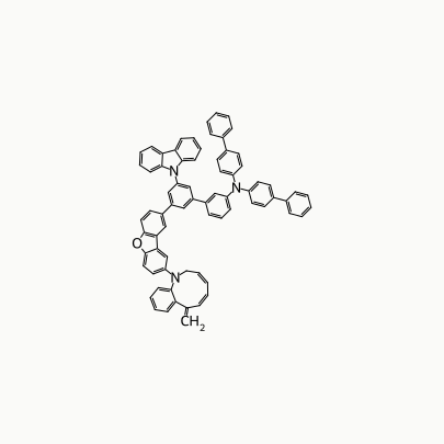 C=C1/C=C\C=C/CN(c2ccc3oc4ccc(-c5cc(-c6cccc(N(c7ccc(-c8ccccc8)cc7)c7ccc(-c8ccccc8)cc7)c6)cc(-n6c7ccccc7c7ccccc76)c5)cc4c3c2)c2ccccc21